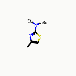 CCCCN(CC)c1nc(C)cs1